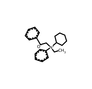 CC[N+](CC(=O)c1ccccc1)(c1ccccc1)C1CCCCC1